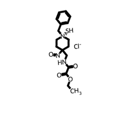 CCOC(=O)C(=O)NCC1(N=O)CC[N+](S)(Cc2ccccc2)CC1.[Cl-]